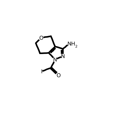 Nc1nn(C(=O)I)c2c1COCC2